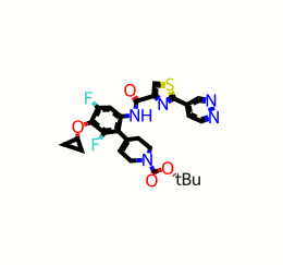 CC(C)(C)OC(=O)N1CC=C(c2c(NC(=O)c3csc(-c4ccnnc4)n3)cc(F)c(OC3CC3)c2F)CC1